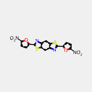 O=[N+]([O-])c1ccc(-c2nc3cc4sc(-c5ccc([N+](=O)[O-])o5)nc4cc3s2)o1